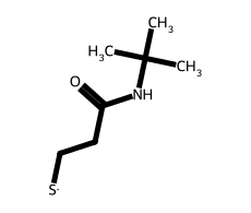 CC(C)(C)NC(=O)CC[S]